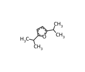 CC(C)c1ccc(C(C)C)o1